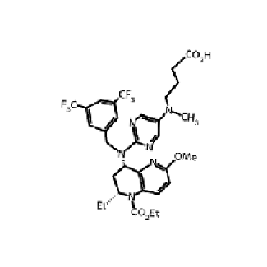 CCOC(=O)N1c2ccc(OC)nc2[C@@H](N(Cc2cc(C(F)(F)F)cc(C(F)(F)F)c2)c2ncc(N(C)CCCC(=O)O)cn2)C[C@H]1CC